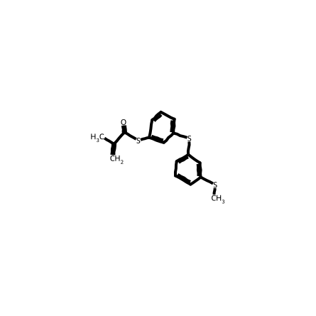 C=C(C)C(=O)Sc1cccc(Sc2cccc(SC)c2)c1